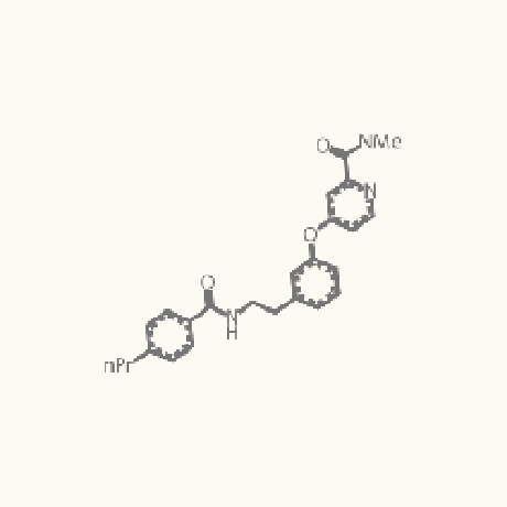 CCCc1ccc(C(=O)NCCc2cccc(Oc3ccnc(C(=O)NC)c3)c2)cc1